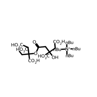 CCCC[N+](CCCC)(CCCC)CCCC.O=C(O)CC(O)(CC(=O)OC(CC(=O)O)(CC(=O)O)C(=O)O)C(=O)O